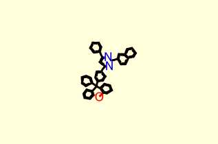 c1ccc(-c2cc(-c3ccc(C4(c5ccccc5)c5ccccc5Oc5ccccc54)cc3)nc(-c3ccc4ccccc4c3)n2)cc1